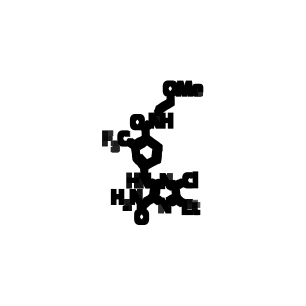 CCc1nc(C(N)=O)c(Nc2ccc(C(=O)NCCOC)c(C(F)(F)F)c2)nc1Cl